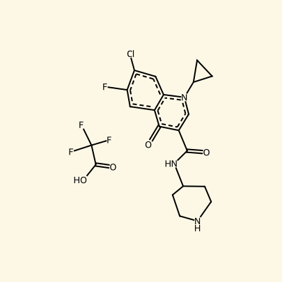 O=C(NC1CCNCC1)c1cn(C2CC2)c2cc(Cl)c(F)cc2c1=O.O=C(O)C(F)(F)F